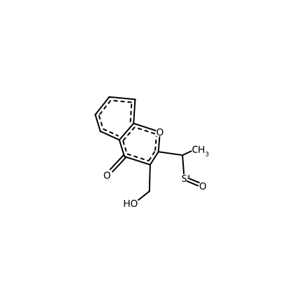 CC([S+]=O)c1oc2ccccc2c(=O)c1CO